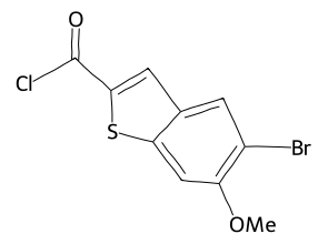 COc1cc2sc(C(=O)Cl)cc2cc1Br